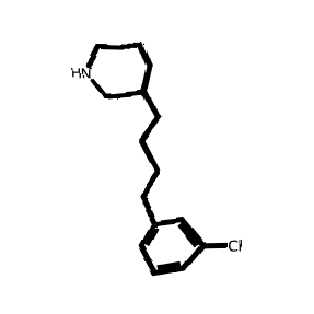 Clc1cccc(CCCCC2C[CH]CNC2)c1